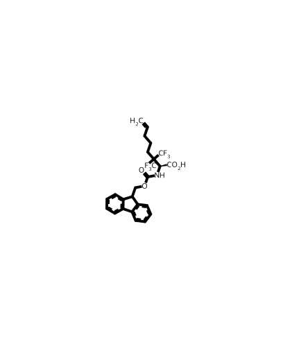 C=CCCCC([C@H](NC(=O)OCC1c2ccccc2-c2ccccc21)C(=O)O)(C(F)(F)F)C(F)(F)F